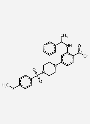 CSc1ccc(S(=O)(=O)N2CCN(c3ccc([N+](=O)[O-])c(NC(C)c4ccccc4)c3)CC2)cc1